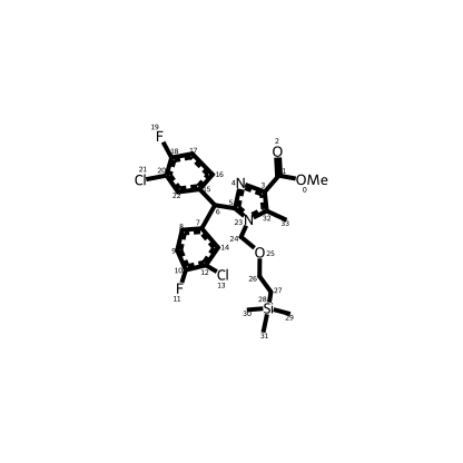 COC(=O)c1nc(C(c2ccc(F)c(Cl)c2)c2ccc(F)c(Cl)c2)n(COCC[Si](C)(C)C)c1C